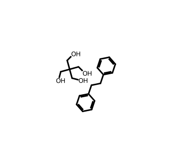 OCC(CO)(CO)CO.c1ccc(CCc2ccccc2)cc1